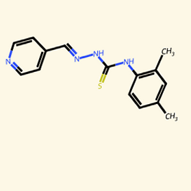 Cc1ccc(NC(=S)N/N=C/c2ccncc2)c(C)c1